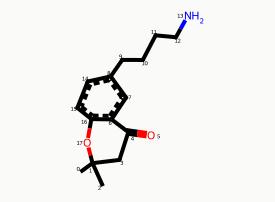 CC1(C)CC(=O)c2cc(CCCCN)ccc2O1